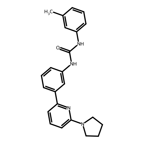 Cc1cccc(NC(=O)Nc2cccc(-c3cccc(N4CCCC4)n3)c2)c1